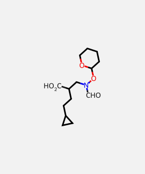 O=CN(CC(CCC1CC1)C(=O)O)OC1CCCCO1